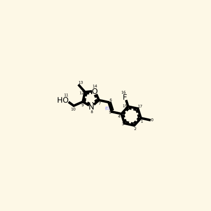 Cc1ccc(/C=C/c2nc(CO)c(C)o2)c(F)c1